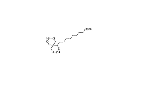 CCCCCCCCCCCCCCCCCCC1OPOCC12COPOC2